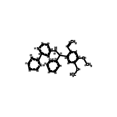 C=Cc1cc(OC)c(OC)cc1C(Nc1ccnc(-c2ncccn2)n1)c1ccccc1